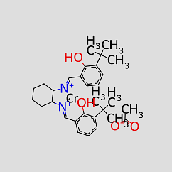 CC(=O)[O-].CC(C)(C)c1cccc(C=[N+]2[Cr][N+](=Cc3cccc(C(C)(C)C)c3O)C3CCCCC32)c1O